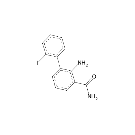 NC(=O)c1cccc(-c2ccccc2I)c1N